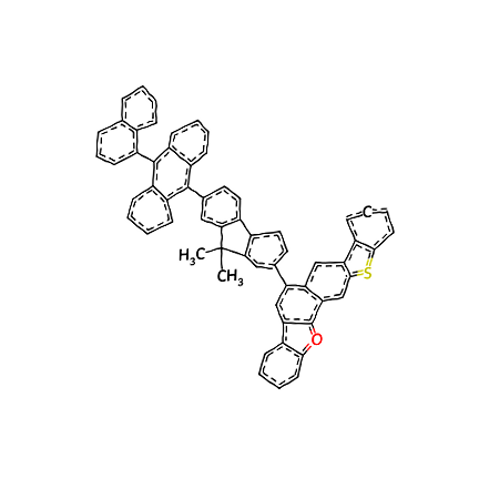 CC1(C)c2cc(-c3c4ccccc4c(-c4cccc5ccccc45)c4ccccc34)ccc2-c2ccc(-c3cc4c5ccccc5oc4c4cc5sc6ccccc6c5cc34)cc21